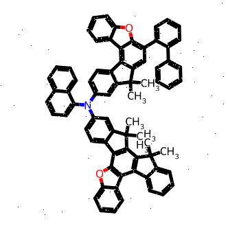 CC1(C)c2cc(N(c3ccc4c(c3)C(C)(C)c3c5c(c6c(oc7ccccc76)c3-4)-c3ccccc3C5(C)C)c3cccc4ccccc34)ccc2-c2c1cc(-c1ccccc1-c1ccccc1)c1oc3ccccc3c21